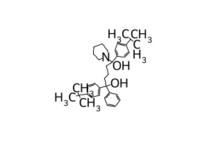 CC(C)(C)c1ccc(C(O)(CCCC(O)(c2ccc(C(C)(C)C)cc2)N2CCCCC2)c2ccccc2)cc1